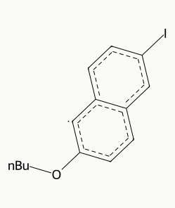 CCCCOc1[c]c2ccc(I)cc2cc1